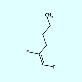 CCCC/C(F)=[C]\F